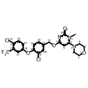 Cn1c(N2CCOCC2)cc(OCc2ccc(Oc3ccc(Cl)c(C(F)(F)F)c3)c(Cl)c2)nc1=O